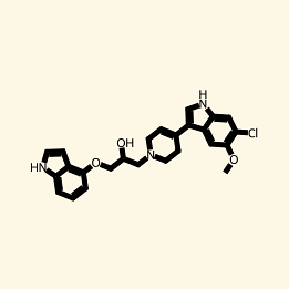 COc1cc2c(C3=CCN(CC(O)COc4cccc5[nH]ccc45)CC3)c[nH]c2cc1Cl